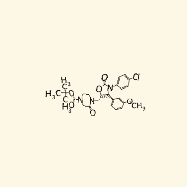 COc1cccc([C@H]2[C@H](CN3CCN(C(=O)OC(C)(C)C)CC3=O)OC(=O)N2c2ccc(Cl)cc2)c1